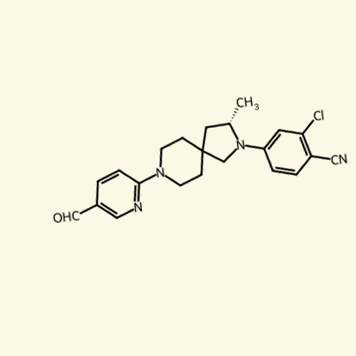 C[C@H]1CC2(CCN(c3ccc(C=O)cn3)CC2)CN1c1ccc(C#N)c(Cl)c1